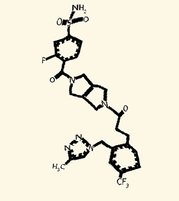 Cc1cn(Cc2cc(C(F)(F)F)ccc2CCC(=O)N2CC3=C(C2)CN(C(=O)c2ccc(S(N)(=O)=O)cc2F)C3)nn1